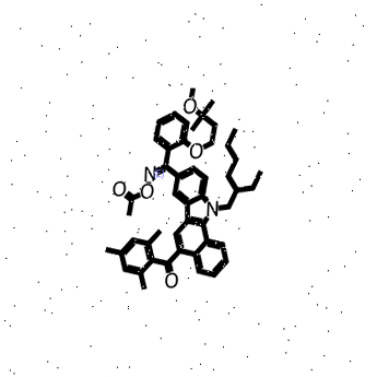 CCCCC(CC)Cn1c2ccc(/C(=N\OC(C)=O)c3ccccc3OCCC(C)(C)OC)cc2c2cc(C(=O)c3c(C)cc(C)cc3C)c3ccccc3c21